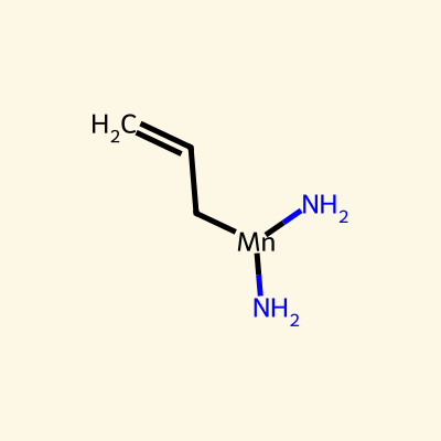 C=C[CH2][Mn]([NH2])[NH2]